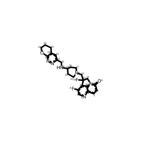 O=c1ccc2ncc(F)c3c2n1CC3(F)CN1CCC(NCc2cc3c(nn2)OCCC3)CC1